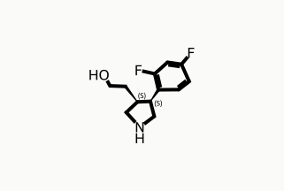 OCC[C@@H]1CNC[C@@H]1c1ccc(F)cc1F